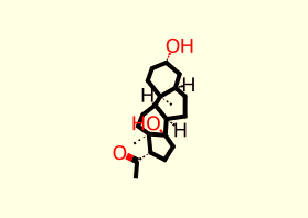 CC(=O)[C@H]1CC[C@]2(O)[C@@H]3CC[C@@H]4C[C@@H](O)CC[C@]4(C)[C@H]3CC[C@]12C